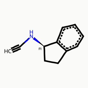 C#CN[C@@H]1CCc2ccccc21